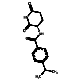 CC(C)c1ccc(C(=O)N[C@H]2CCC(=O)NC2=O)cc1